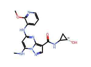 CNc1cc(Nc2cccnc2OC)nc2c(C(=O)NC3C[C@@H]3O)cnn12